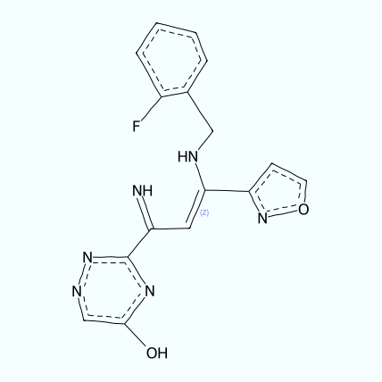 N=C(/C=C(\NCc1ccccc1F)c1ccon1)c1nncc(O)n1